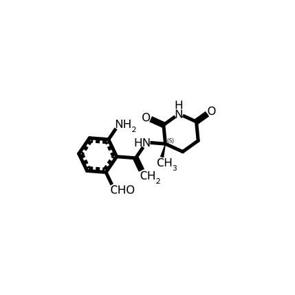 C=C(N[C@@]1(C)CCC(=O)NC1=O)c1c(N)cccc1C=O